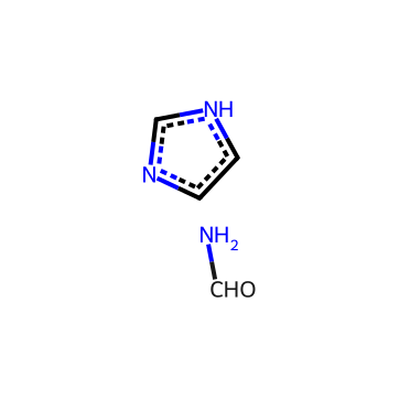 NC=O.c1c[nH]cn1